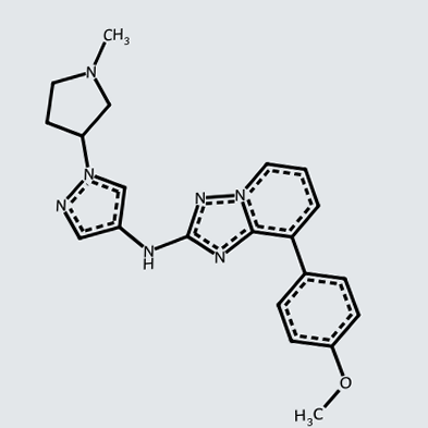 COc1ccc(-c2cccn3nc(Nc4cnn(C5CCN(C)C5)c4)nc23)cc1